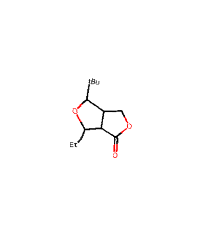 CCC1OC(C(C)(C)C)C2COC(=O)C12